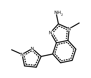 Cn1ccc(-c2cccc3c2nc(N)n3C)n1